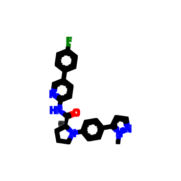 Cn1nccc1-c1ccc(N2CCC[C@H]2C(=O)Nc2ccc(-c3ccc(F)cc3)cn2)cc1